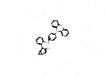 ClC1=CC2CC2=C1c1ccccc1Nc1ccc(N2c3ccccc3Oc3ccccc32)cc1